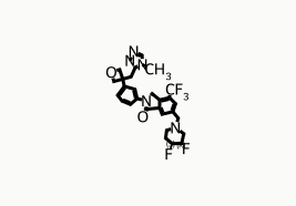 Cn1cnnc1CC1(c2cccc(N3Cc4c(cc(CN5CC[C@H](F)[C@H](F)C5)cc4C(F)(F)F)C3=O)c2)COC1